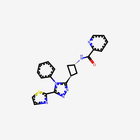 O=C(N[C@H]1C[C@H](c2nnc(-c3nccs3)n2-c2ccccc2)C1)c1ccccn1